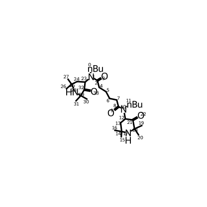 CCCCN(C(=O)CCCCC(=O)N(CCCC)C1CC(C)(C)NC(C)(C)C1=O)C1CC(C)(C)NC(C)(C)C1=O